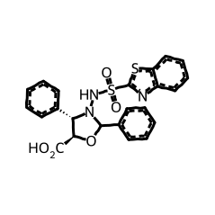 O=C(O)[C@@H]1OC(c2ccccc2)N(NS(=O)(=O)c2nc3ccccc3s2)[C@H]1c1ccccc1